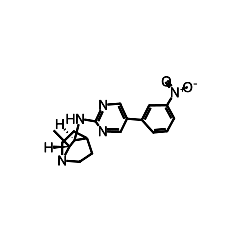 C[C@@H]1[C@@H](Nc2ncc(-c3cccc([N+](=O)[O-])c3)cn2)C2CCN1CC2